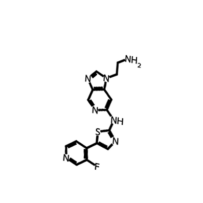 NCCn1cnc2cnc(Nc3ncc(-c4ccncc4F)s3)cc21